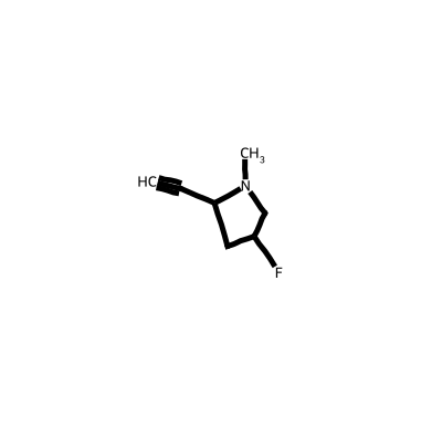 C#CC1CC(F)CN1C